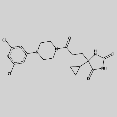 O=C1NC(=O)C(CCC(=O)N2CCN(c3cc(Cl)nc(Cl)c3)CC2)(C2CC2)N1